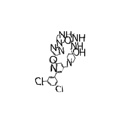 CNC(=O)NCC1(O)CCN(Cc2cc(Oc3cnc(N4CCNCC4)nc3)nc(-c3cc(Cl)cc(Cl)c3)c2)CC1